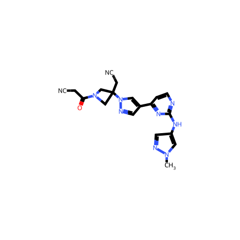 Cn1cc(Nc2nccc(-c3cnn(C4(CC#N)CN(C(=O)CC#N)C4)c3)n2)cn1